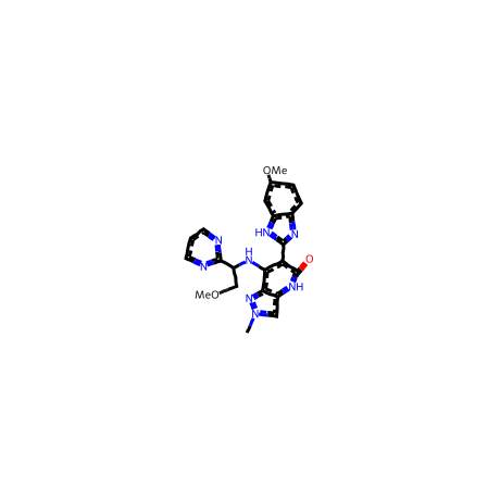 COCC(Nc1c(-c2nc3ccc(OC)cc3[nH]2)c(=O)[nH]c2cn(C)nc12)c1ncccn1